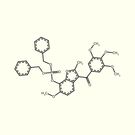 COc1cc(C(=O)c2c(C)oc3c(OP(=O)(OCc4ccccc4)OCc4ccccc4)c(OC)ccc23)cc(OC)c1OC